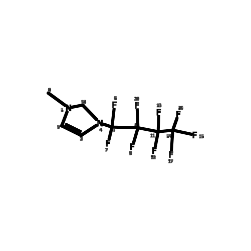 CN1C=CN(C(F)(F)C(F)(F)C(F)(F)C(F)(F)F)C1